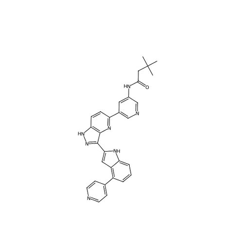 CC(C)(C)CC(=O)Nc1cncc(-c2ccc3[nH]nc(-c4cc5c(-c6ccncc6)cccc5[nH]4)c3n2)c1